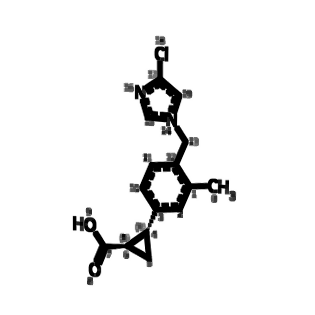 Cc1cc([C@@H]2C[C@H]2C(=O)O)ccc1Cn1cnc(Cl)c1